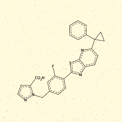 O=C(O)c1ccnn1Cc1ccc(-c2nc3ccc(C4(c5ccccc5)CC4)nc3s2)c(F)c1